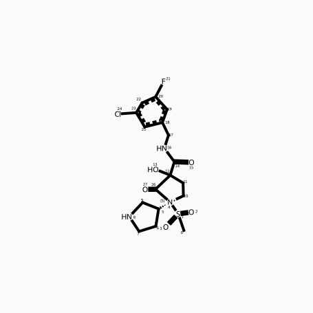 CS(=O)(=O)[N@+]1(C2CCNC2)CCC(O)(C(=O)NCc2cc(F)cc(Cl)c2)C1=O